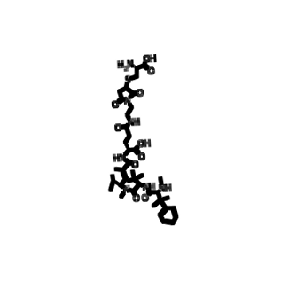 CN[C@H](C(=O)NC(C(=O)N(C)[C@H](/C=C(\C)C(=O)N[C@@H](CCC(=O)NCCN1C(=O)CC(SC[C@H](N)C(=O)O)C1=O)C(=O)O)C(C)C)C(C)(C)C)C(C)(C)c1ccccc1